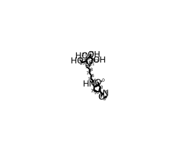 COc1cc(-c2ncco2)ccc1NCCCCCCN1CC(O)C(O)C(O)C1CO